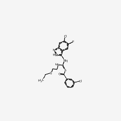 CCOCCN/C(=N\C(=O)c1cccc(Cl)c1)Nc1[nH]nc2cc(Cl)c(F)cc12